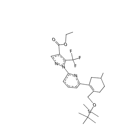 CCOC(=O)c1cnn(-c2cccc(C3=C(CO[Si](C)(C)C(C)(C)C)CCC(C)C3)n2)c1C(F)(F)F